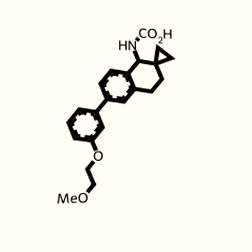 COCCOc1cccc(-c2ccc3c(c2)CCC2(CC2)C3NC(=O)O)c1